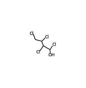 OC(Cl)C(Cl)C(Cl)CCl